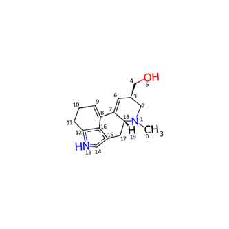 CN1C[C@H](CO)C=C2C3=CCCc4[nH]cc(c43)C[C@H]21